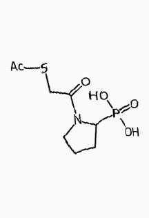 CC(=O)SCC(=O)N1CCCC1P(=O)(O)O